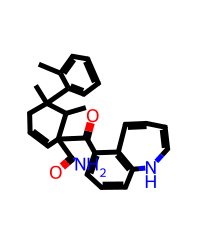 Cc1ccccc1C1(C)CC=CC(C(N)=O)(C(=O)c2cccc3c2C=CC=CN3)C1C